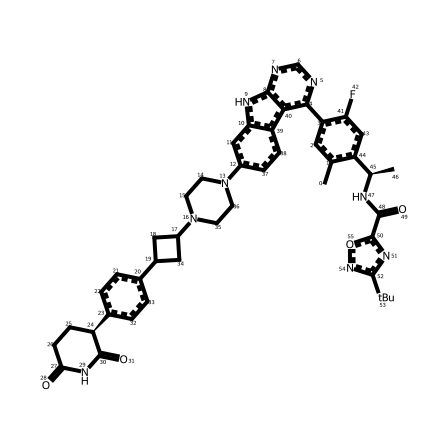 Cc1cc(-c2ncnc3[nH]c4cc(N5CCN(C6CC(c7ccc([C@@H]8CCC(=O)NC8=O)cc7)C6)CC5)ccc4c23)c(F)cc1[C@@H](C)NC(=O)c1nc(C(C)(C)C)no1